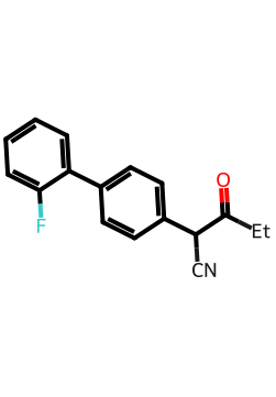 CCC(=O)C(C#N)c1ccc(-c2ccccc2F)cc1